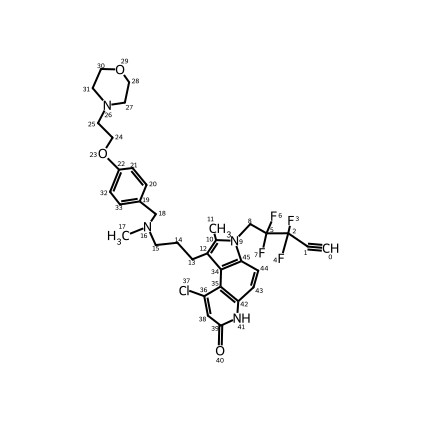 C#CC(F)(F)C(F)(F)Cn1c(C)c(CCCN(C)Cc2ccc(OCCN3CCOCC3)cc2)c2c3c(Cl)cc(=O)[nH]c3ccc21